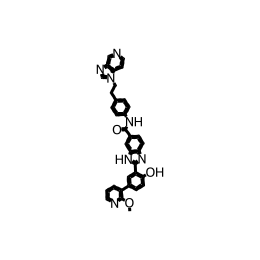 COc1ncccc1-c1ccc(O)c(-c2nc3ccc(C(=O)Nc4ccc(CCn5cnc6cnccc65)cc4)cc3[nH]2)c1